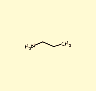 CC[CH2][BiH2]